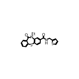 CCN1C(=O)c2ccccc2Sc2ccc(C(=O)NCc3cccs3)cc21